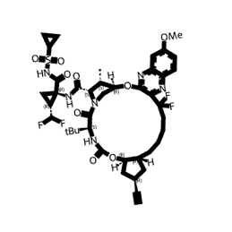 C#C[C@@H]1C[C@H]2CCCCC(F)(F)c3nc4ccc(OC)cc4nc3O[C@H]3CN(C(=O)[C@H](C(C)(C)C)NC(=O)O[C@@H]2C1)[C@H](C(=O)N[C@]1(C(=O)NS(=O)(=O)C2CC2)C[C@H]1C(F)F)[C@@H]3C